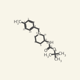 Cc1ccc(CN2CCCC(NC(=O)OC(C)(C)C)C2)cc1